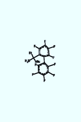 BC(CC)(CCCC)c1c(F)c(F)c(F)c(F)c1-c1c(F)c(F)c(F)c(F)c1F